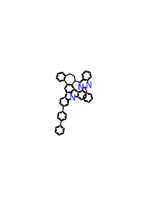 c1ccc(-c2ccc(-c3ccc4c5cc6c(c7c8ccccc8n(c4c3)c57)C(c3nc(-c4ccccc4)nc4ccccc34)CCc3ccccc3-6)cc2)cc1